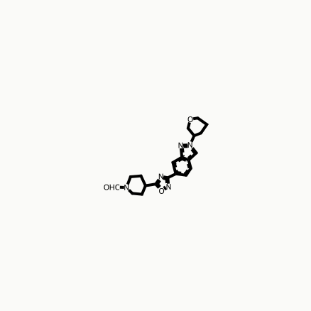 O=CN1CCC(c2nc(-c3ccc4cn(C5CCCOC5)nc4c3)no2)CC1